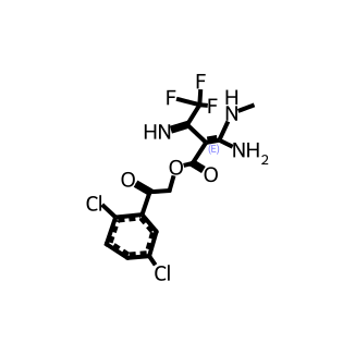 CN/C(N)=C(\C(=N)C(F)(F)F)C(=O)OCC(=O)c1cc(Cl)ccc1Cl